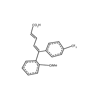 COc1ccccc1/C(=C/C=C/C(=O)O)c1ccc(C(F)(F)F)cc1